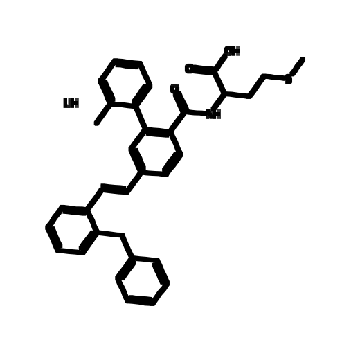 CSCCC(NC(=O)c1ccc(C=Cc2ccccc2Cc2ccccc2)cc1-c1ccccc1C)C(=O)O.[LiH]